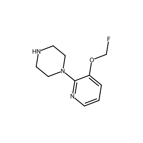 FCOc1cccnc1N1CCNCC1